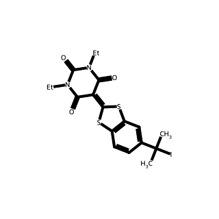 CCN1C(=O)C(=C2Sc3ccc(C(C)(C)I)cc3S2)C(=O)N(CC)C1=O